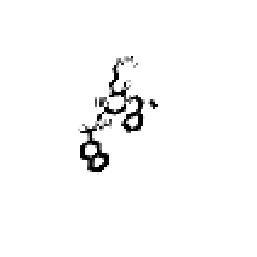 CC[C@@H](CN1CC[C@@H](CNC(=O)c2ccc3ccccc3c2)N[C@@H](CCCN)C1=O)c1ccccc1